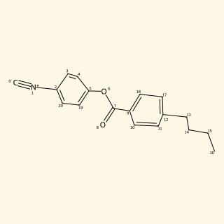 [C-]#[N+]c1ccc(OC(=O)c2ccc(CCCC)cc2)cc1